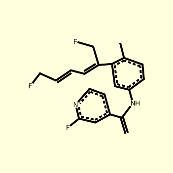 C=C(Nc1ccc(C)c(/C(=C/C=C/CF)CF)c1)c1ccnc(F)c1